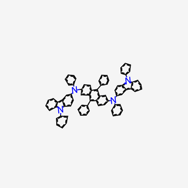 c1ccc(-c2c3ccc(N(c4ccccc4)c4ccc5c(c4)c4ccccc4n5-c4ccccc4)cc3c(-c3ccccc3)c3ccc(N(c4ccccc4)c4ccc5c(c4)c4ccccc4n5-c4ccccc4)cc23)cc1